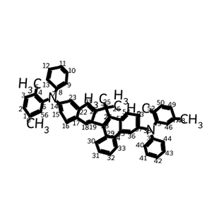 Cc1ccc(C)c(N(c2ccccc2)c2ccc3cc4c(cc3c2)C(C)(C)c2c-4c3ccccc3c3cc(N(c4ccccc4)c4cc(C)ccc4C)ccc23)c1